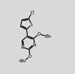 CC(C)(C)Oc1ncc(-c2ccc(Cl)s2)c(OC(C)(C)C)n1